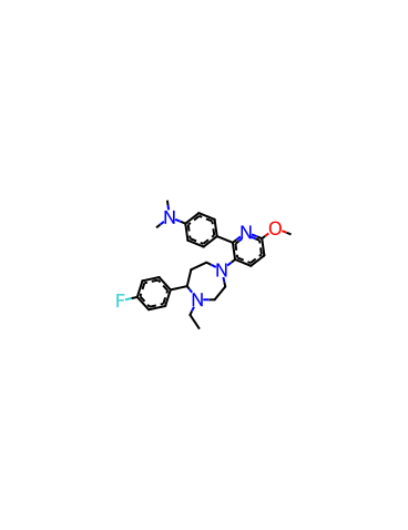 CCN1CCN(c2ccc(OC)nc2-c2ccc(N(C)C)cc2)CCC1c1ccc(F)cc1